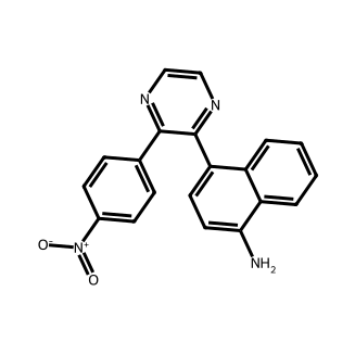 Nc1ccc(-c2nccnc2-c2ccc([N+](=O)[O-])cc2)c2ccccc12